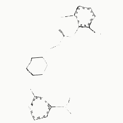 CN(C)c1ccnc(N[C@H]2CC[C@@H](CNC(=O)Nc3c(Cl)cccc3Cl)CC2)n1